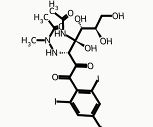 CC(=O)N[C@](O)([C@H](O)[C@H](O)CO)[C@@H](NN(C)C(C)=O)C(=O)C(=O)c1c(I)cc(I)cc1I